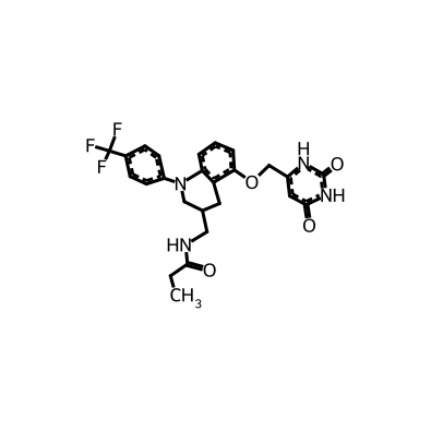 CCC(=O)NCC1Cc2c(OCc3cc(=O)[nH]c(=O)[nH]3)cccc2N(c2ccc(C(F)(F)F)cc2)C1